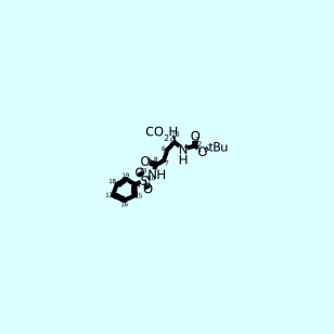 CC(C)(C)OC(=O)N[C@@H](CCC(=O)NS(=O)(=O)c1ccccc1)C(=O)O